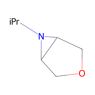 CC(C)N1C2COCC21